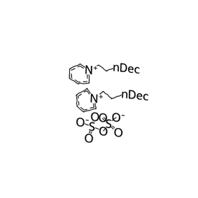 CCCCCCCCCCCC[n+]1ccccc1.CCCCCCCCCCCC[n+]1ccccc1.O=S(=O)([O-])OS(=O)(=O)[O-]